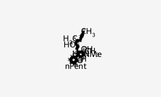 CC#CC[C@@H](C)[C@H](O)C=C[C@@H]1[C@H]2c3cccc(CCCCC)c3O[C@H]2C[C@H]1O.CNC